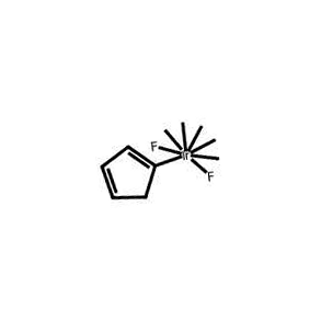 [CH3][Ir]([CH3])([CH3])([CH3])([CH3])([F])([F])[C]1=CC=CC1